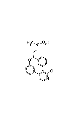 CN(CCC(Oc1cccc(-c2ccnc(Cl)n2)c1)c1ccccc1)C(=O)O